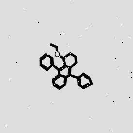 CCOC1CCCc2c1c(-c1ccccc1)c1ccccc1c2-c1ccccc1